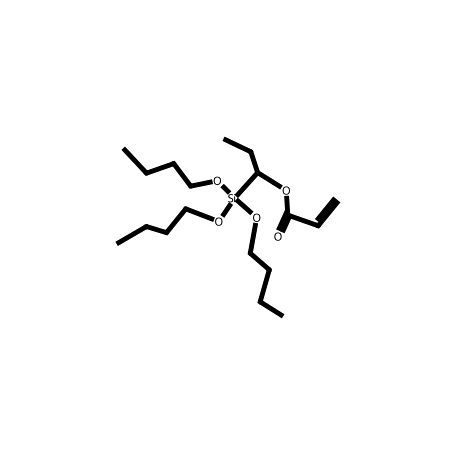 C=CC(=O)OC(CC)[Si](OCCCC)(OCCCC)OCCCC